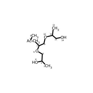 CC(C)=O.CC(O)COC(C)COC(C)CO